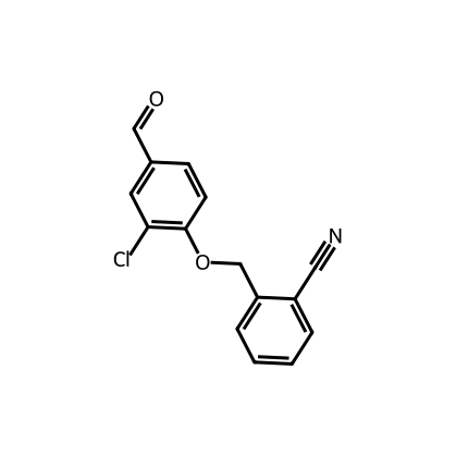 N#Cc1ccccc1COc1ccc(C=O)cc1Cl